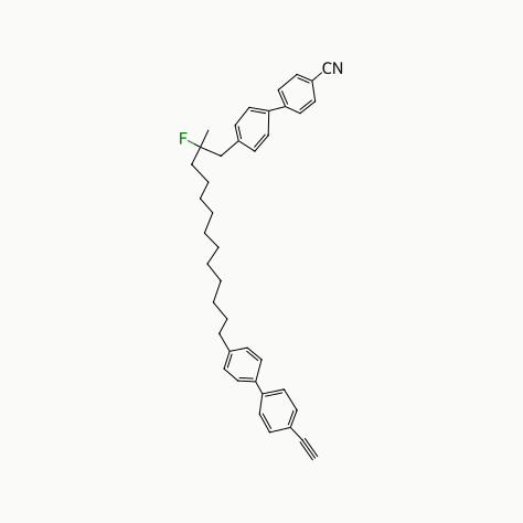 C#Cc1ccc(-c2ccc(CCCCCCCCCCCC(C)(F)Cc3ccc(-c4ccc(C#N)cc4)cc3)cc2)cc1